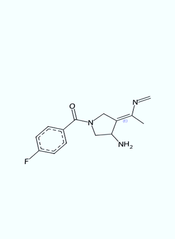 C=N/C(C)=C1\CN(C(=O)c2ccc(F)cc2)CC1N